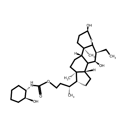 CC[C@@H]1C2C[C@H](O)CC[C@]2(C)[C@H]2CC[C@]3(C)[C@@H]([C@H](C)CCOC(=O)N[C@H]4CCCC[C@@H]4O)CC[C@H]3C2[C@@H]1O